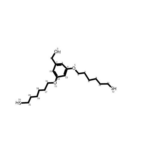 OCc1cc(OCCCCCCS)cc(OCCCCCCS)c1